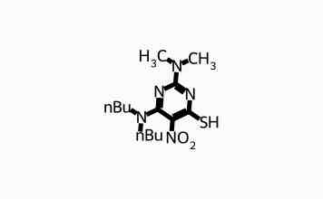 CCCCN(CCCC)c1nc(N(C)C)nc(S)c1[N+](=O)[O-]